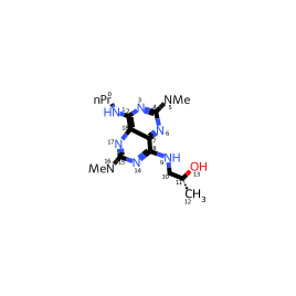 CCCNc1nc(NC)nc2c(NC[C@@H](C)O)nc(NC)nc12